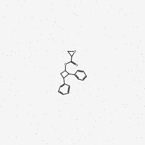 O=C(OC1CC(c2ccccc2)C1c1ccccc1)C1CO1